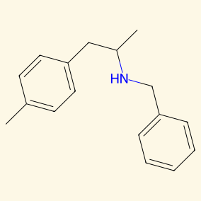 Cc1ccc(CC(C)NCc2ccccc2)cc1